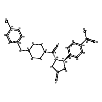 O=C1C[C@H](C(=O)N2CCN(Cc3ccc(Cl)cc3)CC2)[C@@H](c2ccc([N+](=O)[O-])cc2)O1